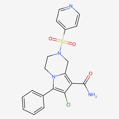 NC(=O)c1c(Cl)c(-c2ccccc2)n2c1CN(S(=O)(=O)c1ccncc1)CC2